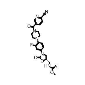 COC(=S)NC[C@H]1CN(c2ccc(N3CCN(C(=O)c4ccc(C#N)nc4)CC3)c(F)c2)C(=O)O1